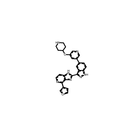 c1cc2[nH]c(-c3n[nH]c4ccc(-c5cncc(OC6CCNCC6)c5)cc34)nc2c(-c2ccoc2)n1